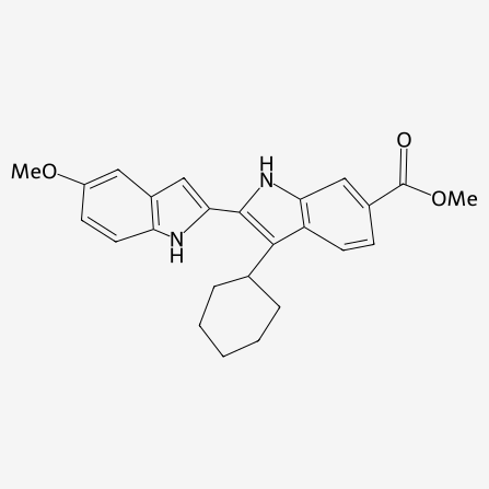 COC(=O)c1ccc2c(C3CCCCC3)c(-c3cc4cc(OC)ccc4[nH]3)[nH]c2c1